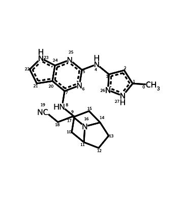 Cc1cc(Nc2nc(NC3CC4CCC(C3)N4CCC#N)c3cc[nH]c3n2)n[nH]1